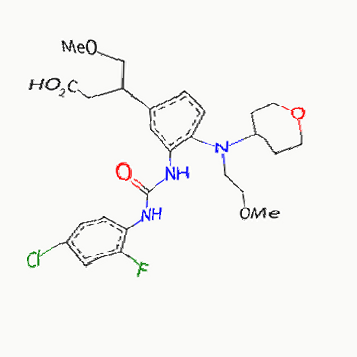 COCCN(c1ccc(C(COC)CC(=O)O)cc1NC(=O)Nc1ccc(Cl)cc1F)C1CCOCC1